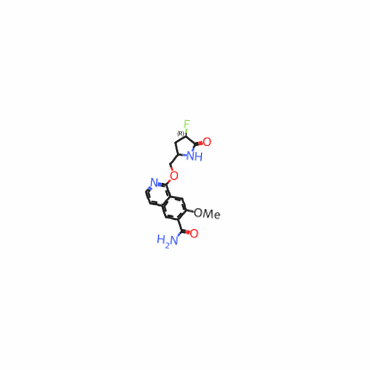 COc1cc2c(OCC3C[C@@H](F)C(=O)N3)nccc2cc1C(N)=O